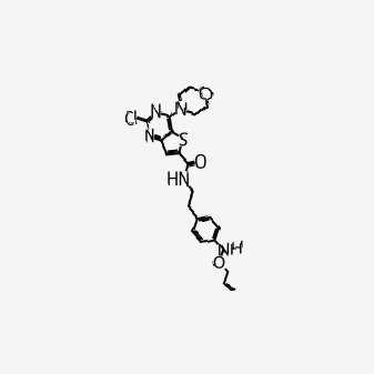 C=CCONc1ccc(CCNC(=O)c2cc3nc(Cl)nc(N4CCOCC4)c3s2)cc1